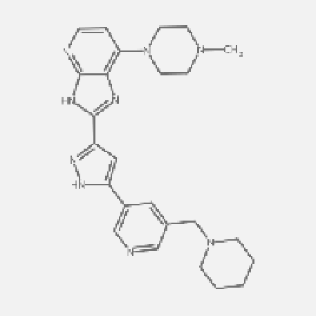 CN1CCN(c2ccnc3[nH]c(-c4cc(-c5cncc(CN6CCCCC6)c5)[nH]n4)nc23)CC1